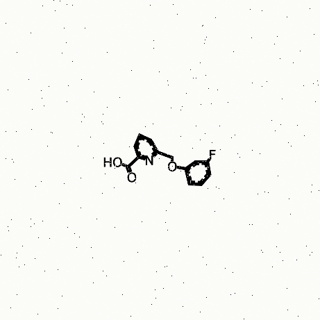 O=C(O)c1cccc(COc2cccc(F)c2)n1